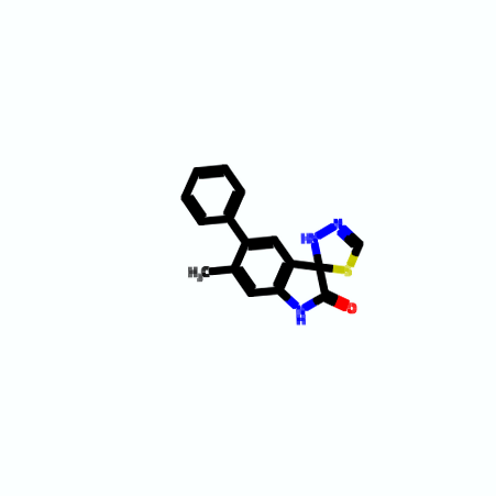 Cc1cc2c(cc1-c1ccccc1)C1(NN=CS1)C(=O)N2